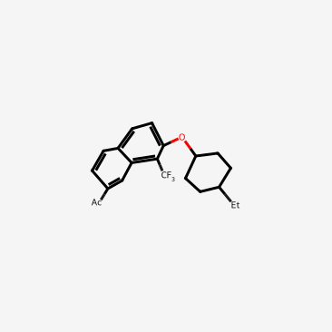 CCC1CCC(Oc2ccc3ccc(C(C)=O)cc3c2C(F)(F)F)CC1